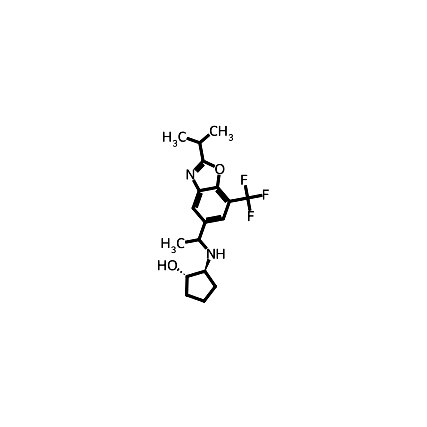 CC(C)c1nc2cc(C(C)N[C@H]3CCC[C@@H]3O)cc(C(F)(F)F)c2o1